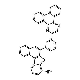 CC(C)c1cccc2c1oc1c(-c3cccc(-c4cnc5c6ccccc6c6ccccc6c5n4)c3)cc3ccccc3c12